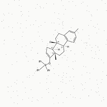 Cc1ccc2c(c1)CC[C@@H]1[C@@H]2CC[C@]2(C)C(O[Si](C(C)C)(C(C)C)C(C)C)=CC[C@@H]12